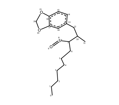 CCCCCCCC([S+]=O)C(C)Cc1ccc2c(c1)OCO2